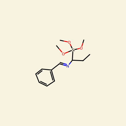 CCC(N=Cc1ccccc1)[Si](OC)(OC)OC